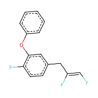 FC=C(F)Cc1ccc(F)c(Oc2ccccc2)c1